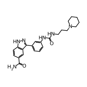 NC(=O)c1ccc2[nH]nc(-c3cccc(NC(=O)NCCCN4CCCCC4)c3)c2c1